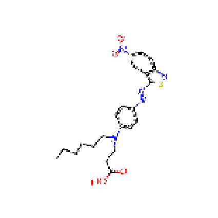 CCCCCCN(CCC(=O)O)c1ccc(N=Nc2snc3ccc([N+](=O)[O-])cc23)cc1